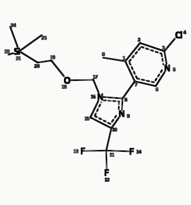 Cc1cc(Cl)ncc1-c1nc(C(F)(F)F)cn1COCC[Si](C)(C)C